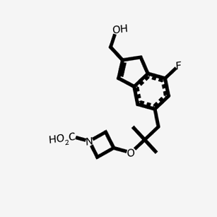 CC(C)(Cc1cc(F)c2c(c1)C=C(CO)C2)OC1CN(C(=O)O)C1